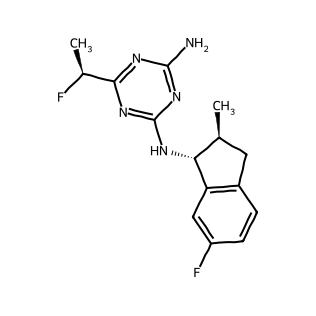 C[C@H](F)c1nc(N)nc(N[C@H]2c3cc(F)ccc3C[C@@H]2C)n1